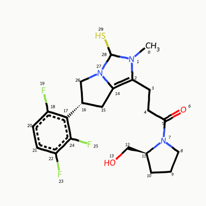 CN1C(CCC(=O)N2CCC[C@H]2CO)=C2C[C@H](c3c(F)ccc(F)c3F)CN2C1S